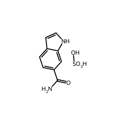 NC(=O)c1ccc2cc[nH]c2c1.O=S(=O)(O)O